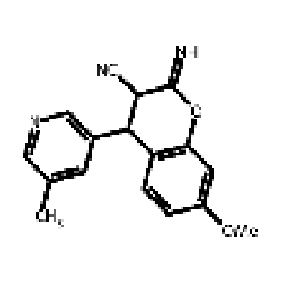 COc1ccc2c(c1)OC(=N)C(C#N)C2c1cncc(C)c1